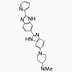 CNC1CCN(c2ccc3nc(-c4ccc5nc(-c6ccccn6)[nH]c5c4)[nH]c3c2)CC1